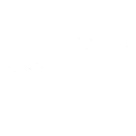 CCc1cc(C)ccc1N1C(=O)CS/C1=N\C(=S)NCCc1ccc(-c2ncn(-c3ccc(OC(F)(F)F)cc3)n2)cc1